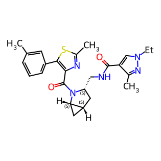 CCn1cc(C(=O)NC[C@@H]2C[C@@H]3C[C@@H]3N2C(=O)c2nc(C)sc2-c2cccc(C)c2)c(C)n1